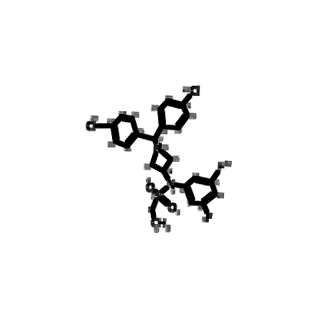 CCS(=O)(=O)N(c1cc(F)cc(F)c1)C1CN(C(c2ccc(Cl)cc2)c2ccc(Cl)cc2)C1